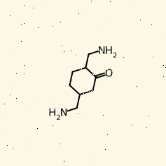 NCC1CCC(CN)C(=O)C1